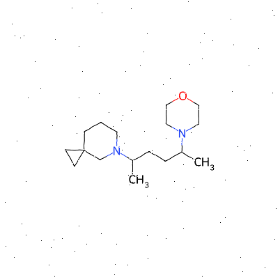 CC(CCC(C)N1CCCC2(CC2)C1)N1CCOCC1